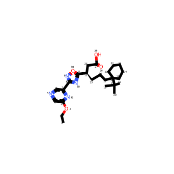 CCOc1cncc(-c2noc([C@H](CCCC3(C(C)(C)C)CCCCC3)CC(=O)O)n2)n1